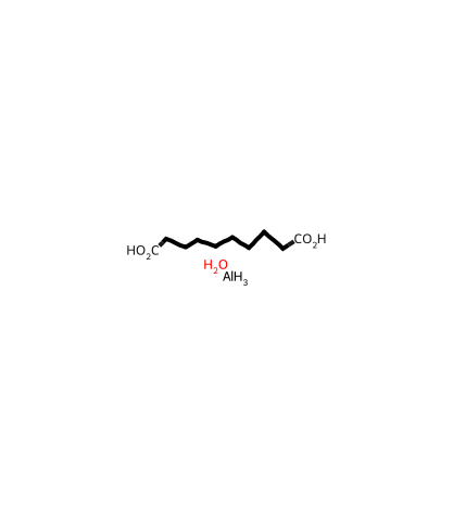 O.O=C(O)CCCCCCCCC(=O)O.[AlH3]